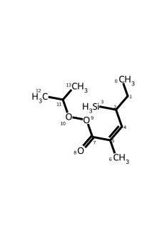 CCC([SiH3])C=C(C)C(=O)OOC(C)C